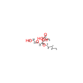 C=CC(=O)O.CCCCCOC(O)COCCO